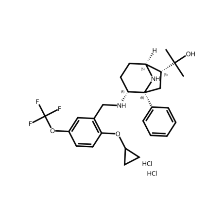 CC(C)(O)[C@@H]1C[C@]2(c3ccccc3)N[C@H]1CC[C@H]2NCc1cc(OC(F)(F)F)ccc1OC1CC1.Cl.Cl